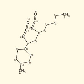 CCCCCC(CC(N=C=O)C1CCC(C)CC1)N=C=O